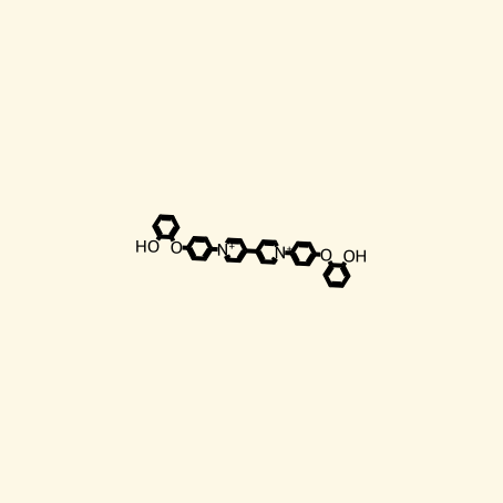 Oc1ccccc1Oc1ccc(-[n+]2ccc(-c3cc[n+](-c4ccc(Oc5ccccc5O)cc4)cc3)cc2)cc1